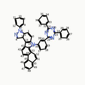 C1=CC2C(C=NN2c2ccccc2)c2c1n(-c1cccc(-c3nc(-c4ccccc4)nc(-c4ccccc4)n3)c1)c1c2ccc2c3ccccc3ccc21